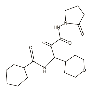 O=C(NN1CCCC1=O)C(=O)C(NC(=O)C1CCCCC1)C1CCOCC1